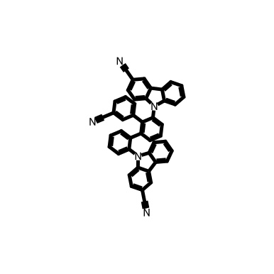 N#Cc1cccc(-c2c(-c3ccccc3-n3c4ccccc4c4cc(C#N)ccc43)cccc2-n2c3ccccc3c3cc(C#N)ccc32)c1